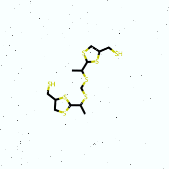 CC(SCSC(C)C1SCC(CS)S1)C1SCC(CS)S1